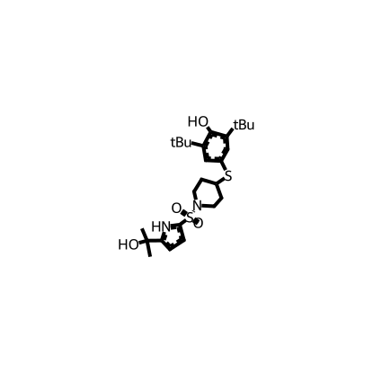 CC(C)(C)c1cc(SC2CCN(S(=O)(=O)c3ccc(C(C)(C)O)[nH]3)CC2)cc(C(C)(C)C)c1O